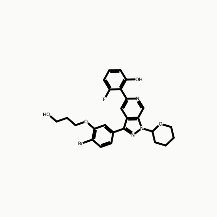 OCCCOc1cc(-c2nn(C3CCCCO3)c3cnc(-c4c(O)cccc4F)cc23)ccc1Br